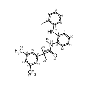 Cc1ccccc1Nc1ccccc1N(C)C(=O)C(C)(C)c1cc(C(F)(F)F)cc(C(F)(F)F)c1